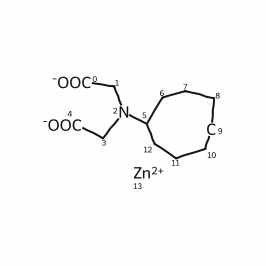 O=C([O-])CN(CC(=O)[O-])C1CCCCCCC1.[Zn+2]